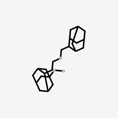 CCOC12CC3CC(C1)C(CCOCC1C4CC5CC(C4)CC1C5)C(C3)C2